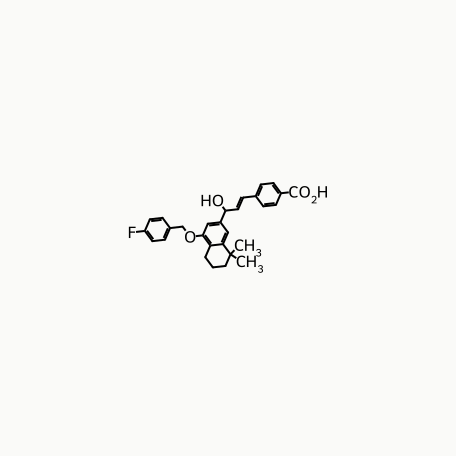 CC1(C)CCCc2c(OCc3ccc(F)cc3)cc(C(O)C=Cc3ccc(C(=O)O)cc3)cc21